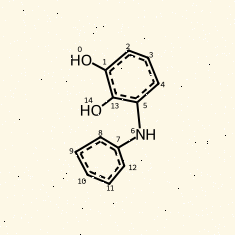 Oc1cccc(Nc2ccccc2)c1O